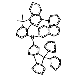 CC1(C)c2cccc(N(c3ccc4c(c3)C(c3ccccc3)(c3ccccc3)c3ccccc3-4)c3ccc4ccccc4c3)c2-c2cc(-c3ccccc3)c3ccccc3c21